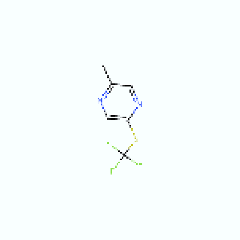 Cc1cnc(SC(F)(F)F)cn1